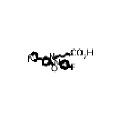 O=C(O)CCCCc1nc2cc(-c3cccnc3)ccc2c(=O)n1-c1ccc(F)cc1